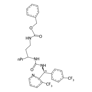 CCCC(CCNC(=O)OCc1ccccc1)NC(=O)N[C@@H](c1ccc(C(F)(F)F)cc1)c1ncccc1C(F)(F)F